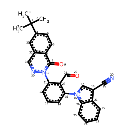 CC(C)(C)c1ccc2c(=O)n(-c3cccc(-n4cc(C#N)c5ccccc54)c3C=O)ncc2c1